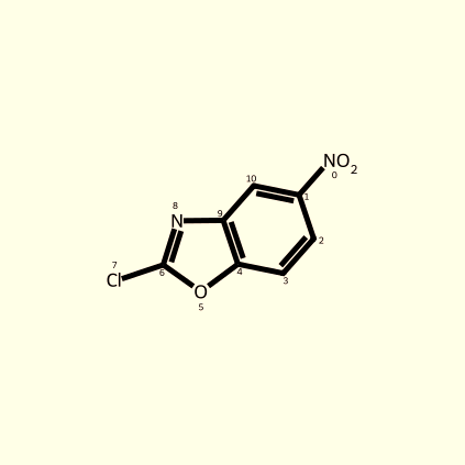 O=[N+]([O-])c1ccc2oc(Cl)nc2c1